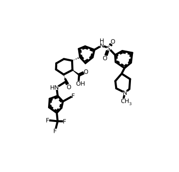 CN1CCC(c2cccc(S(=O)(=O)Nc3ccc([C@H]4CCC[C@@H](C(=O)Nc5ccc(C(F)(F)F)cc5F)[C@@H]4C(=O)O)cc3)c2)CC1